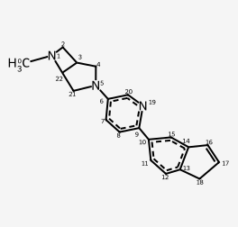 CN1CC2CN(c3ccc(-c4ccc5c(c4)C=CC5)nc3)CC21